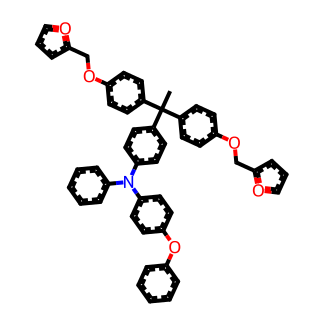 CC(c1ccc(OCc2ccco2)cc1)(c1ccc(OCc2ccco2)cc1)c1ccc(N(c2ccccc2)c2ccc(Oc3ccccc3)cc2)cc1